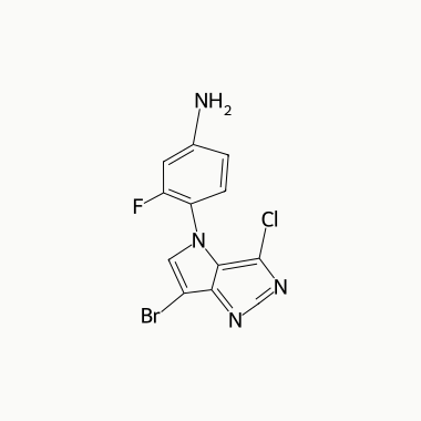 Nc1ccc(-n2cc(Br)c3ncnc(Cl)c32)c(F)c1